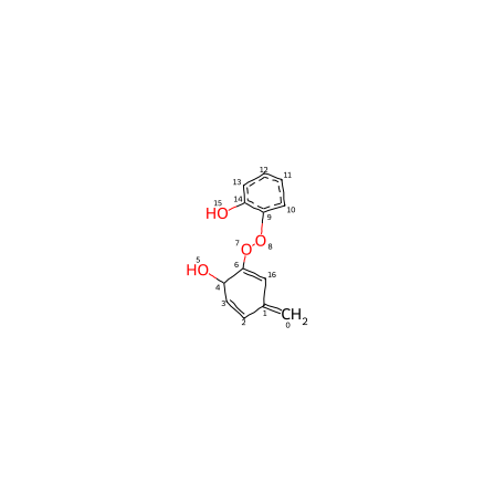 C=C1C=CC(O)C(OOc2ccccc2O)=C1